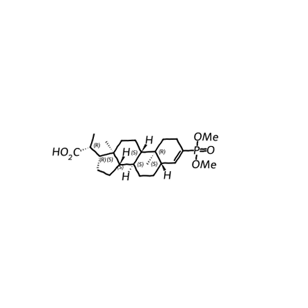 COP(=O)(OC)C1=C[C@@H]2CC[C@@H]3[C@H](CC[C@]4(C)[C@@H]([C@@H](C)C(=O)O)CC[C@@H]34)[C@@]2(C)CC1